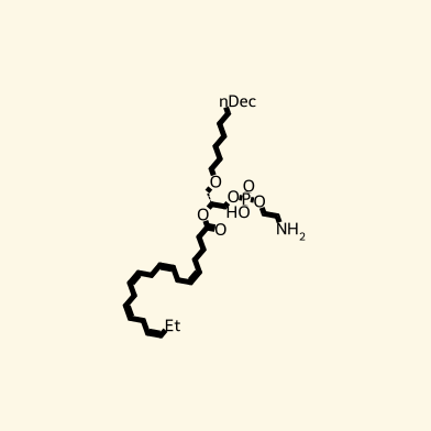 CC/C=C\C/C=C\C/C=C\C/C=C\C/C=C\CCCC(=O)O[C@H](COCCCCCCCCCCCCCCCC)COP(=O)(O)OCCN